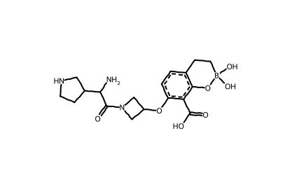 NC(C(=O)N1CC(Oc2ccc3c(c2C(=O)O)O[B-](O)(O)CC3)C1)C1CCNC1